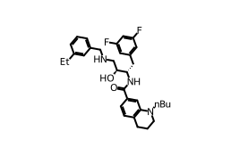 CCCCN1CCCc2ccc(C(=O)N[C@@H](Cc3cc(F)cc(F)c3)[C@@H](O)CNCc3cccc(CC)c3)cc21